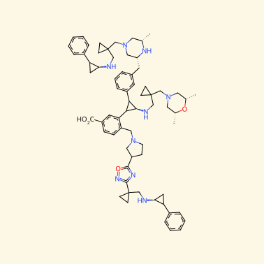 C[C@@H]1CN(CC2(CN[C@@H]3C(c4cccc(C[C@@H]5CN(CC6(CN[C@H]7CC7c7ccccc7)CC6)C[C@H](C)N5)c4)C3c3cc(C(=O)O)ccc3CN3CCC(c4nc(C5(CN[C@H]6CC6c6ccccc6)CC5)no4)C3)CC2)C[C@H](C)O1